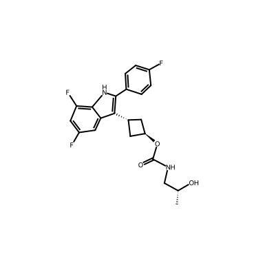 C[C@@H](O)CNC(=O)O[C@H]1C[C@H](c2c(-c3ccc(F)cc3)[nH]c3c(F)cc(F)cc32)C1